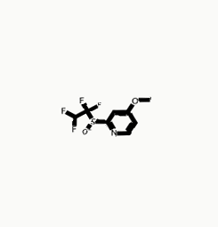 COc1ccnc([S+]([O-])C(F)(F)C(F)F)c1